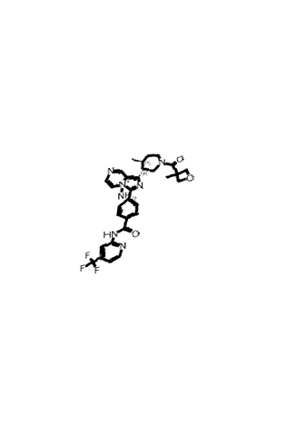 C[C@H]1CCN(C(=O)C2(C)COC2)C[C@@H]1C1=C2C=NC=C[N+]2(N)C(c2ccc(C(=O)Nc3cc(C(F)(F)F)ccn3)cc2)=N1